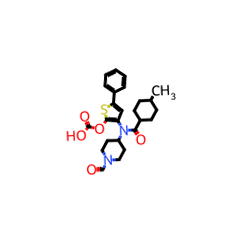 CC1CCC(C(=O)N(c2cc(-c3ccccc3)sc2OC(=O)O)C2CCN(C=O)CC2)CC1